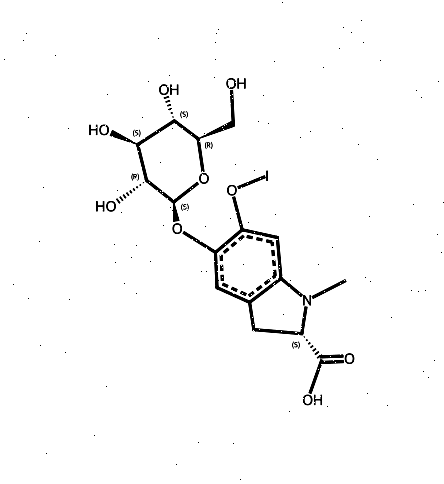 CN1c2cc(OI)c(O[C@@H]3O[C@H](CO)[C@@H](O)[C@H](O)[C@H]3O)cc2C[C@H]1C(=O)O